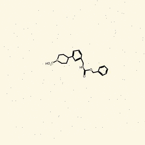 O=C(NCc1cccc(C2CCN(C(=O)O)CC2)c1)OCc1ccccc1